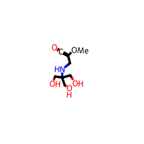 COC(=C=O)CNC(CO)(CO)CO